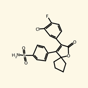 NS(=O)(=O)c1ccc(C2=C(c3ccc(F)c(Cl)c3)C(=O)OC23CCCC3)cc1